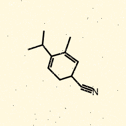 CC1=CC(C#N)CC=C1C(C)C